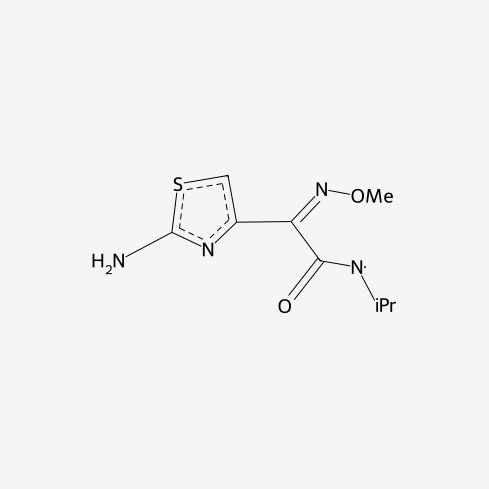 CON=C(C(=O)[N]C(C)C)c1csc(N)n1